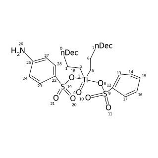 CCCCCCCCCCC[CH2][Ti](=[O])([CH2]CCCCCCCCCCC)([O]S(=O)(=O)c1ccccc1)[O]S(=O)(=O)c1ccc(N)cc1